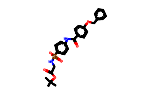 CC(C)(C)OC(=O)CNS(=O)(=O)c1ccc(NC(=O)c2ccc(OCc3ccccc3)cc2)cc1